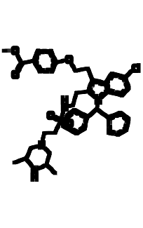 COC(=O)c1ccc(OCCc2c(CCNS(=O)(=O)CCN3CC(C)NC(C)C3)n(C(c3ccccc3)c3ccccc3)c3ccc(Cl)cc23)cc1